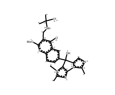 COc1nc2ccc(C3(O)c4c(nc(C)n4C)-n4c3cnc4C)cc2c(Cl)c1CNC(C)(C)C(F)(F)F